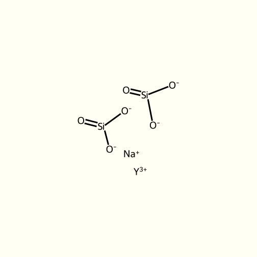 O=[Si]([O-])[O-].O=[Si]([O-])[O-].[Na+].[Y+3]